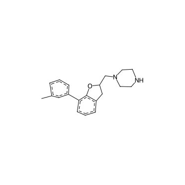 Cc1cccc(-c2cccc3c2OC(CN2CCNCC2)C3)c1